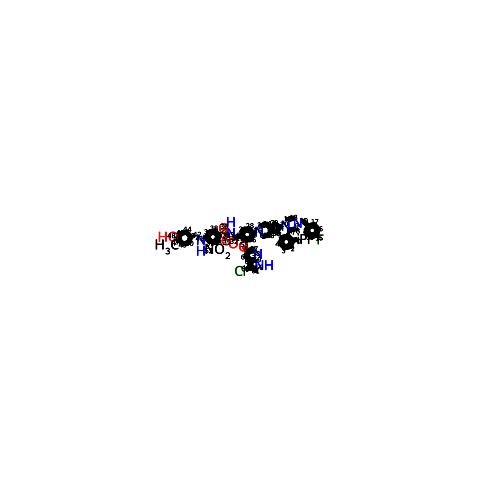 CC(C)c1ccccc1[C@@H]1CN(Cc2ccc(F)cc2)CCN1C1CC2(CCN(c3ccc(C(=O)NS(=O)(=O)c4ccc(NC[C@H]5CC[C@](C)(O)CC5)c([N+](=O)[O-])c4)c(Oc4cnc5[nH]cc(Cl)c5c4)c3)CC2)C1